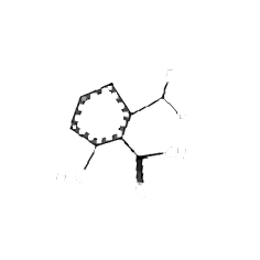 CC(=O)c1c(C)cccc1C(F)F